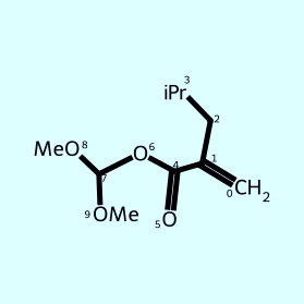 C=C(CC(C)C)C(=O)OC(OC)OC